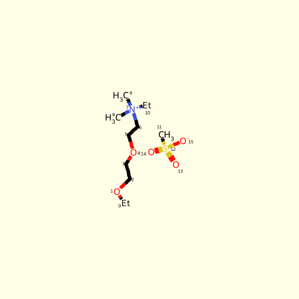 CCOCCOCC[N+](C)(C)CC.CS(=O)(=O)[O-]